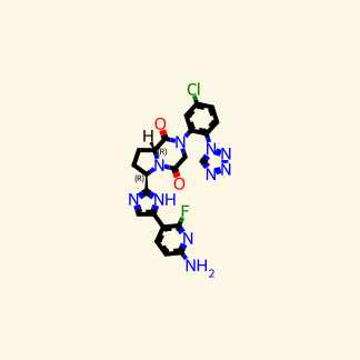 Nc1ccc(-c2cnc([C@H]3CC[C@@H]4C(=O)N(c5cc(Cl)ccc5-n5cnnn5)CC(=O)N43)[nH]2)c(F)n1